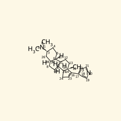 CN(C)[C@H]1CC[C@H]2[C@@H](CC[C@@H]3[C@@H]2CC[C@]2(C)C(c4ccncc4)=CC[C@@H]32)C1